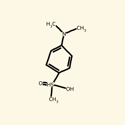 CN(C)c1ccc([SH](C)(=O)O)cc1